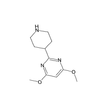 COc1cc(OC)nc(C2CCNCC2)n1